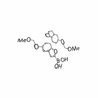 COCOc1ccc2oc(B(O)O)cc2c1.COCOc1ccc2occc2c1